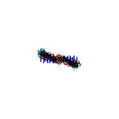 O=C(Nc1ccc(S(=O)(=O)c2ccc(NC(=O)Nc3cccc(OC(F)(F)C(F)F)c3)cc2)cc1)Nc1cccc(OC(F)(F)C(F)F)c1